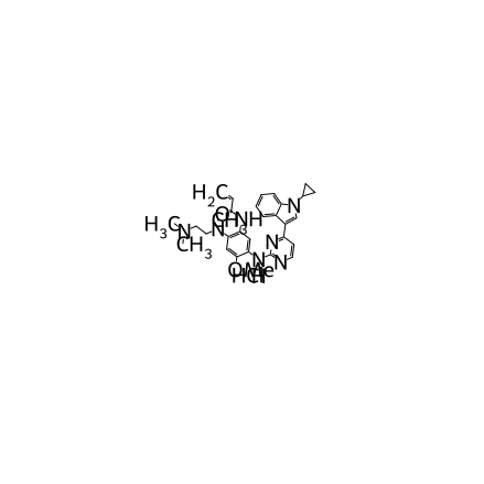 C=CC(=O)Nc1cc(Nc2nccc(-c3cn(C4CC4)c4ccccc34)n2)c(OC)cc1N(C)CCN(C)C.Cl